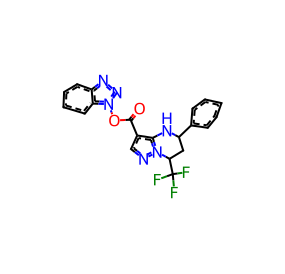 O=C(On1nnc2ccccc21)c1cnn2c1NC(c1ccccc1)CC2C(F)(F)F